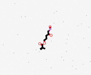 C=C(C)C(=O)OCCCC(=O)CP=O